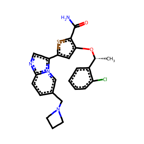 C[C@@H](Oc1cc(-c2cnc3ccc(CN4CCC4)cn23)sc1C(N)=O)c1ccccc1Cl